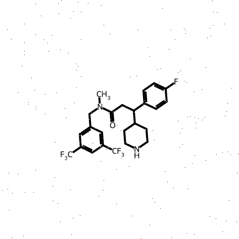 CN(Cc1cc(C(F)(F)F)cc(C(F)(F)F)c1)C(=O)CC(c1ccc(F)cc1)C1CCNCC1